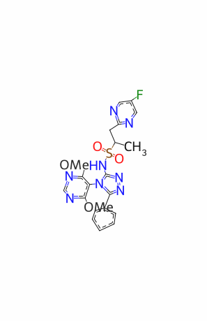 COc1ncnc(OC)c1-n1c(NS(=O)(=O)C(C)Cc2ncc(F)cn2)nnc1-c1ccccc1